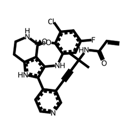 C=CC(=O)NC(C)(C)C#Cc1cnccc1-c1[nH]c2c(c1Nc1cc(F)cc(Cl)c1OC)C(=O)NCC2